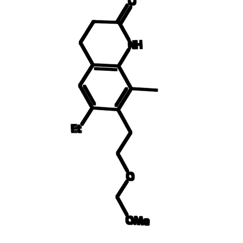 [CH2]Cc1cc2c(c(C)c1CCOCOC)NC(=O)CC2